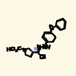 N#C/C(=N\Nc1ccc(Oc2ccccc2)cc1)C1CCN(C(=O)O)C1